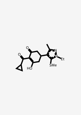 CCn1nc(C)c(C2CC(=O)C(C(=O)C3CC3)=C(O)C2)c1SC